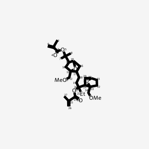 C=C(C)C(=O)OC(C)(C)C1CC2(COC)OC1CC2CCC(CC)(OC(=O)C(=C)C)C1CC2CCC1(COC)O2